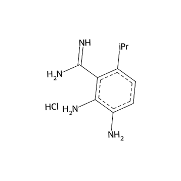 CC(C)c1ccc(N)c(N)c1C(=N)N.Cl